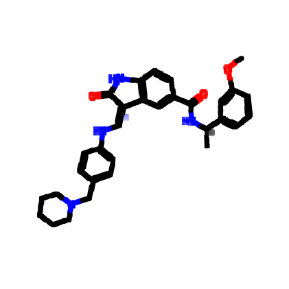 COc1cccc([C@@H](C)NC(=O)c2ccc3c(c2)/C(=C/Nc2ccc(CN4CCCCC4)cc2)C(=O)N3)c1